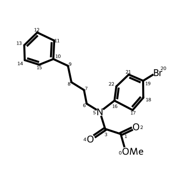 COC(=O)C(=O)N(CCCCc1ccccc1)c1ccc(Br)cc1